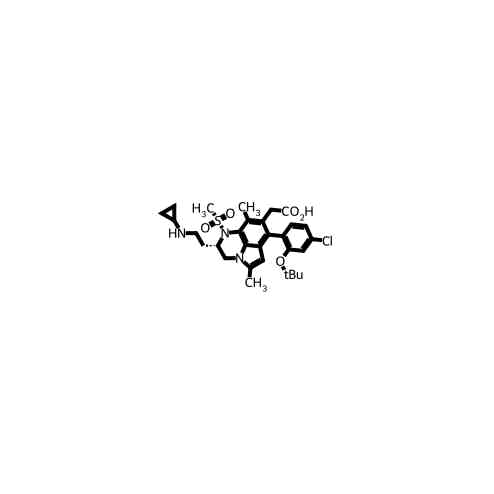 Cc1c(CC(=O)O)c(-c2ccc(Cl)cc2OC(C)(C)C)c2cc(C)n3c2c1N(S(C)(=O)=O)[C@@H](CCNC1CC1)C3